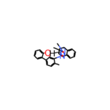 Cc1ccc2c(oc3ccccc32)c1N1C2CCC(c3ccccc32)N(C)[C@@H]1C